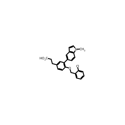 Cn1ccc2cc(-c3cc(CCC(=O)O)ccc3OCc3ccccc3Cl)ccc21